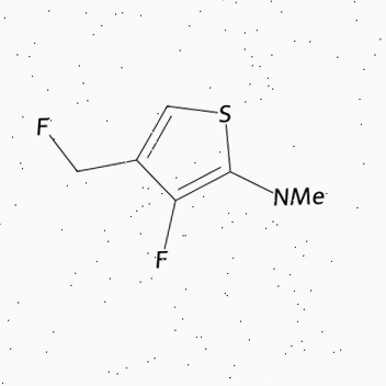 CNc1scc(CF)c1F